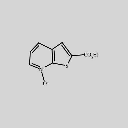 CCOC(=O)c1cc2ccc[n+]([O-])c2s1